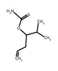 C=CCC(OC(N)=S)C(C)C